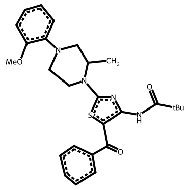 COc1ccccc1N1CCN(c2nc(NC(=O)C(C)(C)C)c(C(=O)c3ccccc3)s2)C(C)C1